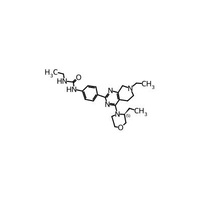 CCNC(=O)Nc1ccc(-c2nc3c(c(N4CCOC[C@@H]4CC)n2)CCN(CC)C3)cc1